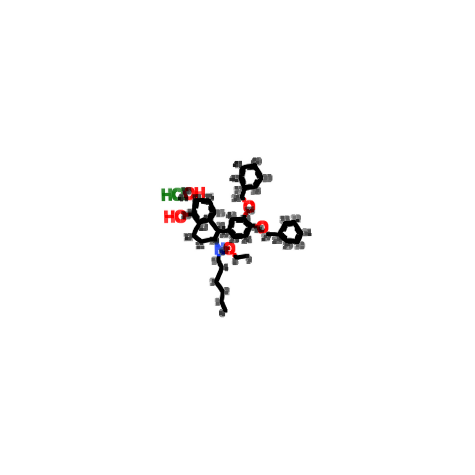 CCCCCCN(OCC)C1CCc2c(ccc(O)c2O)C1c1ccc(OCc2ccccc2)c(OCc2ccccc2)c1.Cl